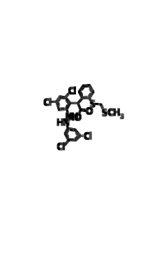 CSCSc1ccccc1C(C(=O)O)c1c(Cl)cc(Cl)cc1NNc1cc(Cl)cc(Cl)c1